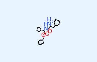 N[C@H](Cc1ccccc1)C(=O)N[C@@H](C(=O)OCc1ccccc1)C1CCCC1